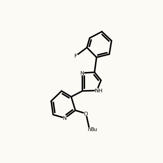 CCCCOc1ncccc1-c1nc(-c2ccccc2F)c[nH]1